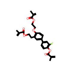 C=C(C)C(=O)OCCOc1ccc(-c2ccc(OC(=O)C(=C)C)c(F)c2)cc1CCOC(=O)C(=C)C